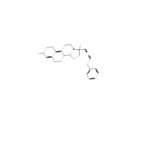 CC12CCC3=C4CCC(O)C=C4CCC3C1CCC2(O)C=C=CCc1ccccc1